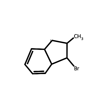 CC1[C]C2C=CC=CC2C1Br